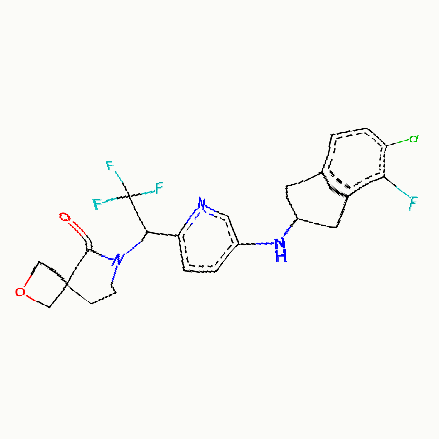 O=C1N(C(c2ccc(NC3Cc4ccc(Cl)c(F)c4C3)cn2)C(F)(F)F)CCC12COC2